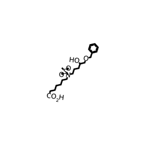 CS(=O)(=O)N(CCCCCCC(=O)O)CCCC(O)COCc1ccccc1